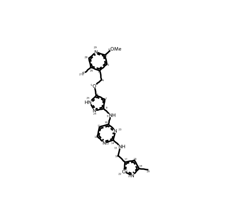 COc1cc(COc2cc(Nc3ccnc(NCc4cc(C)no4)n3)n[nH]2)c(F)cn1